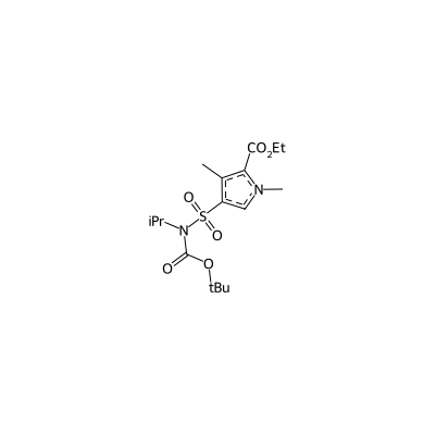 CCOC(=O)c1c(C)c(S(=O)(=O)N(C(=O)OC(C)(C)C)C(C)C)cn1C